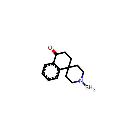 BN1CCC2(CCC(=O)c3ccccc32)CC1